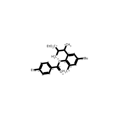 CCOC(=O)C(C)C(C)c1cc(C(C)(C)C)cc(C)c1OC(=O)c1ccc(CC)cc1